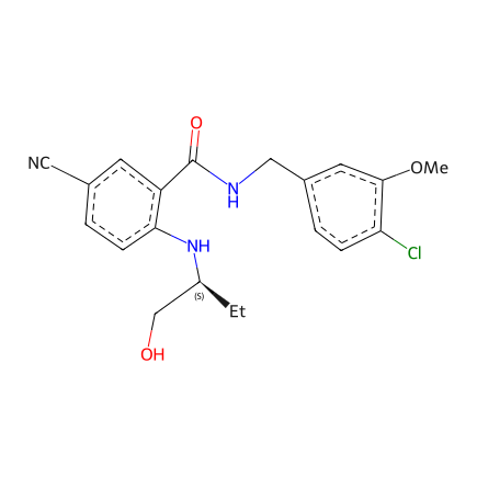 CC[C@@H](CO)Nc1ccc(C#N)cc1C(=O)NCc1ccc(Cl)c(OC)c1